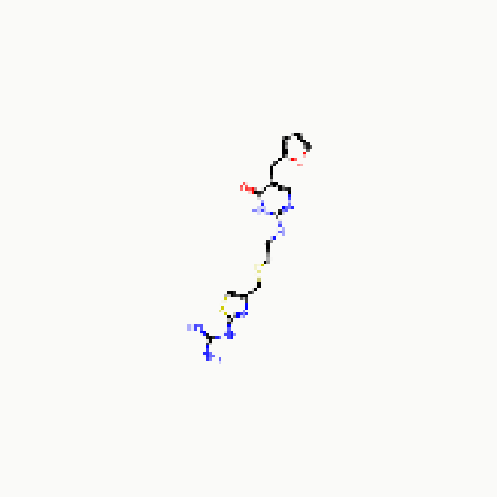 N=C(N)Nc1nc(CSCCNc2ncc(Cc3ccco3)c(=O)[nH]2)cs1